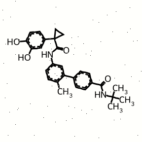 Cc1ccc(NC(=O)C2(c3ccc(O)c(O)c3)CC2)cc1-c1ccc(C(=O)NC(C)(C)C)cc1